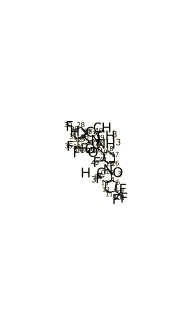 CN(C(=O)c1cc(C(F)(F)F)ccc1F)c1cccc(C(=O)NN(C(=O)c2ccc(F)cc2C(F)(F)F)C(C)(C)C)c1F